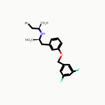 CC(C)C[C@H](N[C@@H](Cc1cccc(OCc2cc(F)cc(F)c2)c1)C(=O)O)C(=O)O